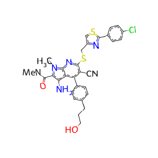 CNC(=O)c1c(N)c2c(-c3ccc(CCCO)cc3)c(C#N)c(SCc3csc(-c4ccc(Cl)cc4)n3)nc2n1C